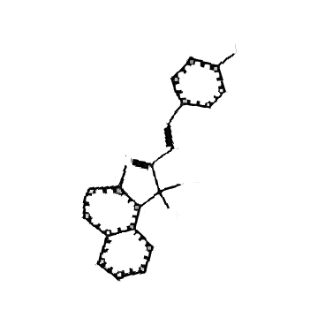 CC1(C)C(/C=C/c2ccc(F)cc2)=Nc2ccc3ccccc3c21